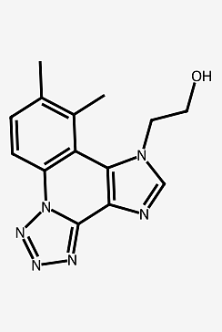 Cc1ccc2c(c1C)c1c(ncn1CCO)c1nnnn21